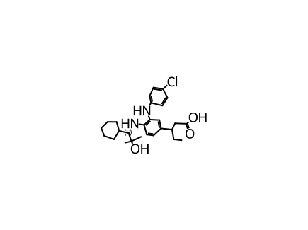 CCC(CC(=O)O)c1ccc(N[C@@H](C2CCCCC2)C(C)(C)O)c(Nc2ccc(Cl)cc2)c1